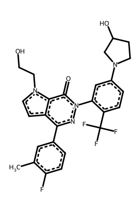 Cc1cc(-c2nn(-c3cc(N4CCC(O)C4)ccc3C(F)(F)F)c(=O)c3c2ccn3CCO)ccc1F